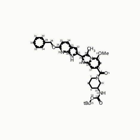 COc1cc(C(=O)N2CCCC(NC(=O)OC(C)(C)C)C2)cc2nc(-c3cc4ccc(OCc5ccccc5)nc4[nH]3)c(C)n12